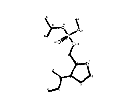 CCC(C)C1CCOC1COP(=O)(OC)OC(C)C